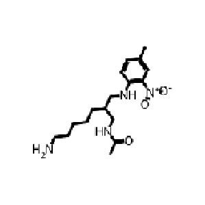 CC(=O)NCC(CCCCCN)CNc1ccc(C)cc1[N+](=O)[O-]